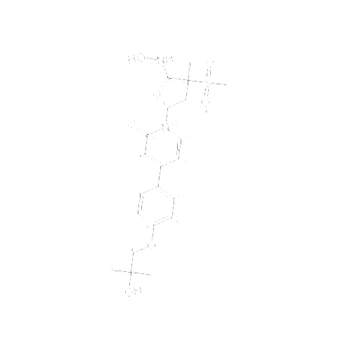 CC(C)(O)COc1ccc(-c2ccn(CCC(C)(C(=O)NO)S(C)(=O)=O)c(=O)c2)cc1